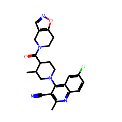 Cc1nc2ccc(Cl)cc2c(N2CCC(C(=O)N3CCc4oncc4C3)C(C)C2)c1C#N